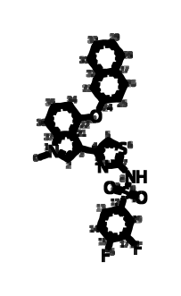 Cn1cc(-c2csc(NS(=O)(=O)c3ccc(F)c(F)c3)n2)c2c(Oc3ccc4ccccc4c3)cccc21